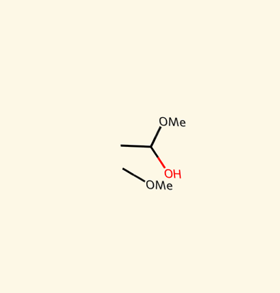 COC.COC(C)O